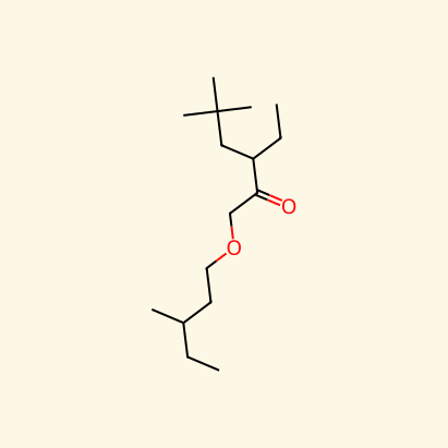 CCC(C)CCOCC(=O)C(CC)CC(C)(C)C